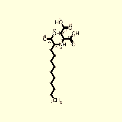 CCCCCCCCCCC(NC(CC(=O)O)C(=O)O)C(=O)O